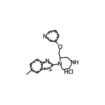 Cc1ccc2nc(N3CCNCC3COc3cccnc3)sc2c1.Cl